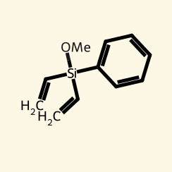 C=C[Si](C=C)(OC)c1ccccc1